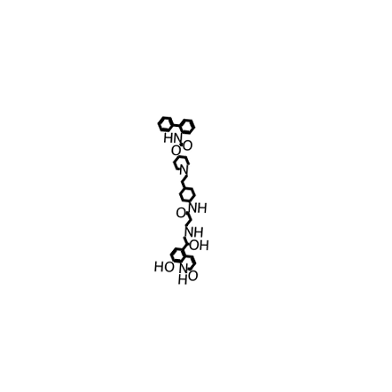 O=C(CCNCC(O)c1ccc(O)c2[nH]c(=O)ccc12)NC1CCC(CCN2CCC(OC(=O)Nc3ccccc3-c3ccccc3)CC2)CC1